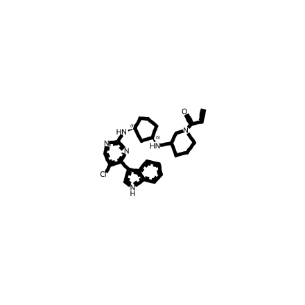 C=CC(=O)N1CCCC(N[C@H]2CCC[C@@H](Nc3ncc(Cl)c(-c4c[nH]c5ccccc45)n3)C2)C1